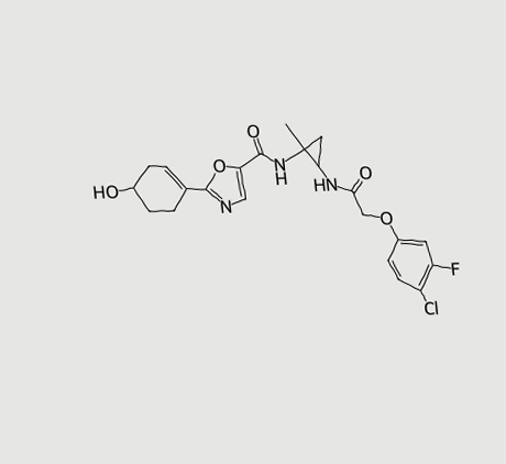 CC1(NC(=O)c2cnc(C3=CCC(O)CC3)o2)CC1NC(=O)COc1ccc(Cl)c(F)c1